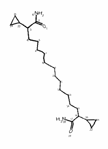 NC(=O)C(CCCCCCCCCCCCC(C(N)=O)C1CC1)C1CC1